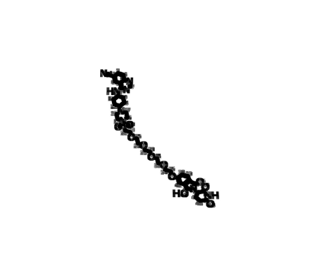 N#Cc1ccc2ncnc(N[C@H]3CC[C@@H](N4CCN(S(=O)(=O)CCOCCOCCOCCOCCOc5ccc6c(c5)C(O)N(C5CCC(=O)NC5=O)C6=O)CC4)CC3)c2c1